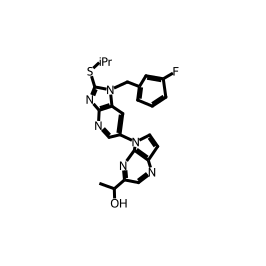 CC(C)Sc1nc2ncc(-n3ccc4ncc(C(C)O)nc43)cc2n1Cc1cccc(F)c1